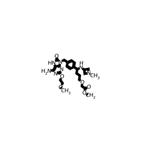 COCCOc1nc(N)c2[nH]c(=O)n(Cc3ccc(C(CCCOCC(=O)OC)NC4CN(C)C4)cc3)c2n1